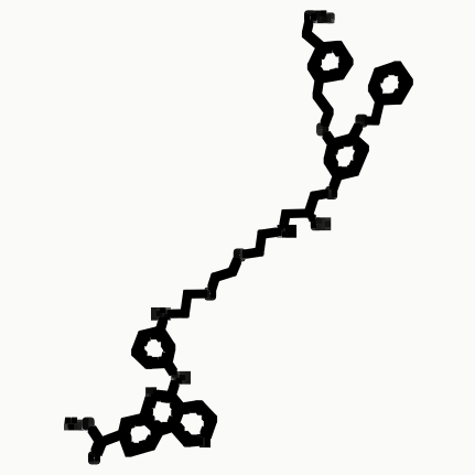 COCc1cccc(CCOc2cc(OC[C@H](O)CNCCOCCOCCNc3cccc(Nc4nc5cc(C(=O)OC)ccc5c5cnccc45)c3)ccc2OCc2ccccc2)c1